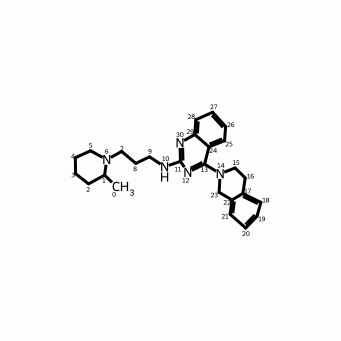 CC1CCCCN1CCCNc1nc(N2CCc3ccccc3C2)c2ccccc2n1